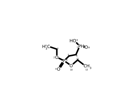 CCOP(=O)(CC[PH](=O)O)OCC